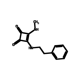 CNc1c(NCCc2ccccc2)c(=O)c1=O